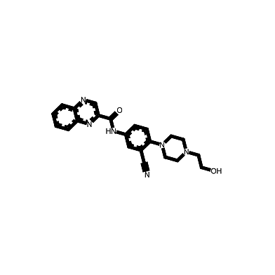 N#Cc1cc(NC(=O)c2cnc3ccccc3n2)ccc1N1CCN(CCO)CC1